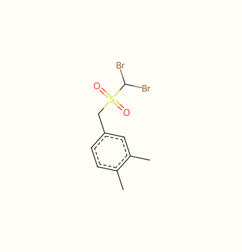 Cc1ccc(CS(=O)(=O)C(Br)Br)cc1C